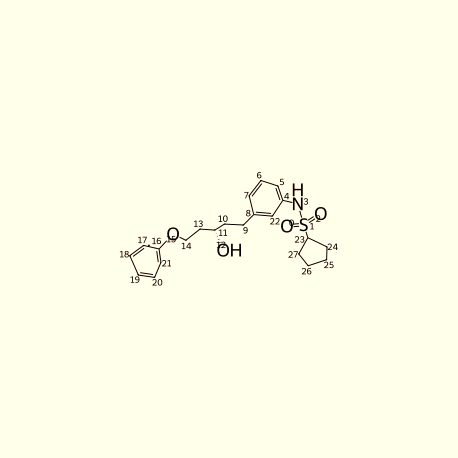 O=S(=O)(Nc1cccc(CC[C@H](O)CCOc2[c]cccc2)c1)C1CCCC1